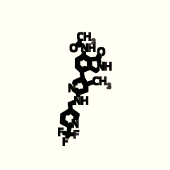 CC(=O)Nc1ccc(-c2cnc(NCc3ccc(C(F)(F)F)nc3)cc2C)c2c1C(=O)NC2